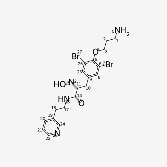 NCCCOc1c(Br)cc(CC(=NO)C(=O)NCCc2cccnc2)cc1Br